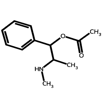 CNC(C)C(OC(C)=O)c1ccccc1